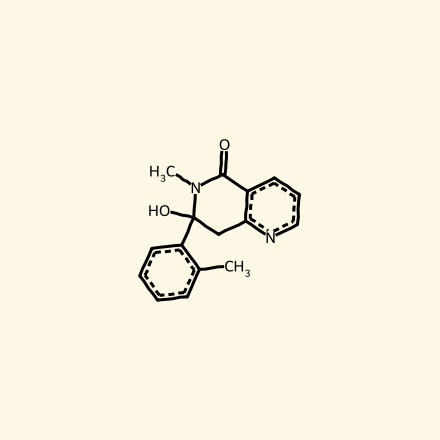 Cc1ccccc1C1(O)Cc2ncccc2C(=O)N1C